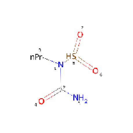 CCCN(C(N)=O)[SH](=O)=O